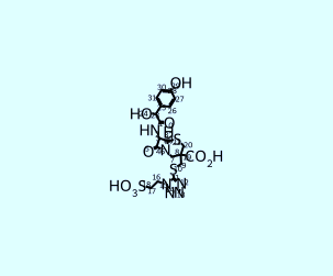 O=C(NC1C(=O)N2CC(CSc3nnnn3CCS(=O)(=O)O)(C(=O)O)CS[C@H]12)C(O)c1ccc(O)cc1